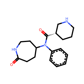 O=C1CCC(N(C(=O)[C@H]2CCCNC2)c2ccccc2)CCN1